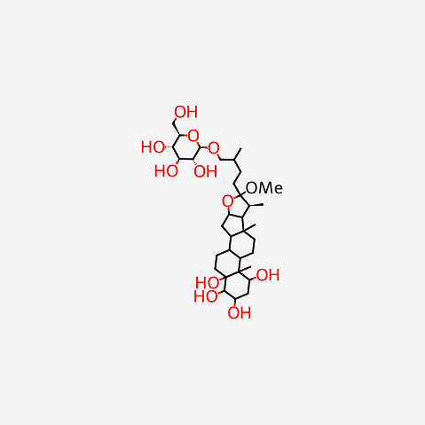 COC1(CCC(C)CO[C@@H]2O[C@H](CO)[C@@H](O)[C@H](O)[C@H]2O)OC2CC3C4CCC5(O)C(O)C(O)CC(O)C5(C)C4CCC3(C)C2[C@@H]1C